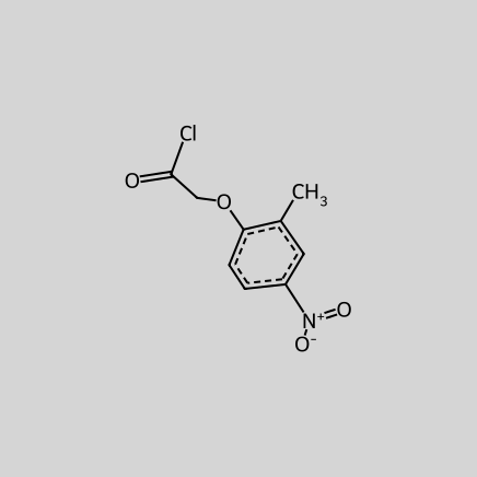 Cc1cc([N+](=O)[O-])ccc1OCC(=O)Cl